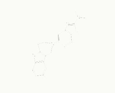 CN(C)c1nc2cc(N3CCc4[nH]c5ccc(F)cc5c4C3)ccc2s1